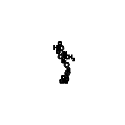 Cn1nc(C2CCC(=O)NC2=O)c2cccc(N3CC4(CCC(CN5CCN(C(=O)OC(C)(C)C)CC5)CC4)C3)c21